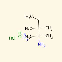 CCC(C)(C)C(C)(C)N.Cl.Cl.N